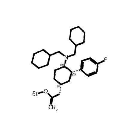 C=C(C[C@@H]1CC[C@@H](N(CC2CCCCC2)CC2CCCCC2)[C@H](c2ccc(F)cc2)C1)OCC